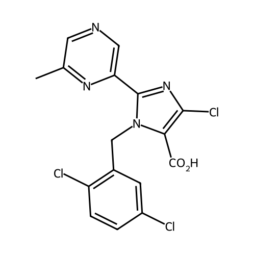 Cc1cncc(-c2nc(Cl)c(C(=O)O)n2Cc2cc(Cl)ccc2Cl)n1